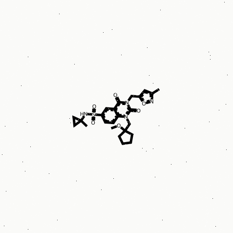 COC1(Cn2c(=O)n(Cc3cc(C)no3)c(=O)c3cc(S(=O)(=O)NC4(C)CC4)ccc32)CCCC1